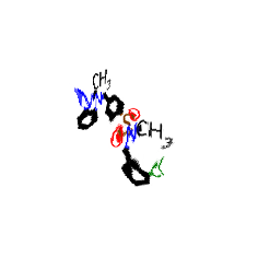 Cc1nc2ccccc2n1Cc1ccc(S(=O)(=O)N(C)Cc2cccc(Cl)c2)cc1